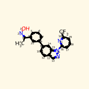 C/C(=N/O)c1cccc(-c2ccc3cnn(-c4cccc(C(F)(F)F)n4)c3c2)c1